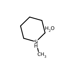 C[SiH]1CCCCC1.O